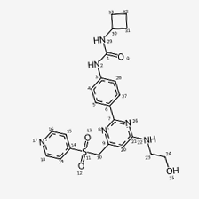 O=C(Nc1ccc(-c2nc(CS(=O)(=O)c3ccncc3)cc(NCCO)n2)cc1)NC1CCC1